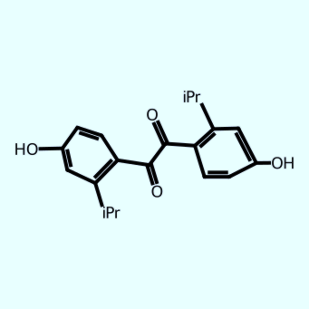 CC(C)c1cc(O)ccc1C(=O)C(=O)c1ccc(O)cc1C(C)C